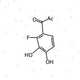 CC(=O)C(=O)c1ccc(O)c(O)c1F